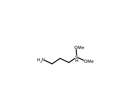 CO[SiH](CCCN)OC